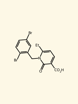 CCc1ccc(C(=O)O)c(=O)n1Cc1cc(Br)ccc1Br